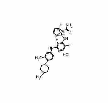 Cc1cc(Nc2ncc(F)c(N[C@H]3[C@@H](C(N)=O)[C@@H]4C=C[C@H]3C4)n2)ccc1N1CCN(C)CC1.Cl